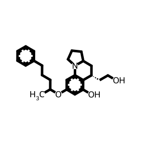 CC(CCCc1ccccc1)Oc1cc(O)c2c(c1)N1CCCC1C[C@@H]2CCO